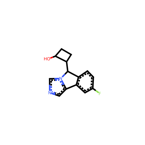 OC1CCC1C1c2ccc(F)cc2-c2cncn21